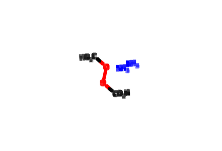 N.N.O=C(O)OOC(=O)O